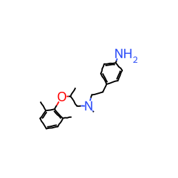 Cc1cccc(C)c1OC(C)CN(C)CCc1ccc(N)cc1